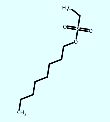 CCCCCCCCOS(=O)(=O)CC